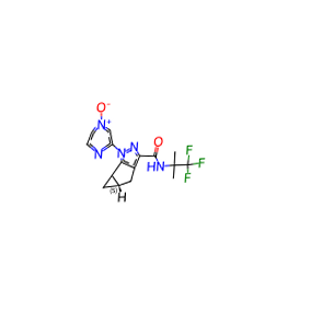 CC(C)(NC(=O)c1nn(-c2c[n+]([O-])ccn2)c2c1C[C@@H]1CC21)C(F)(F)F